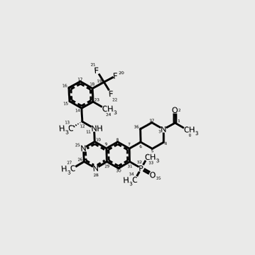 CC(=O)N1CCC(c2cc3c(N[C@H](C)c4cccc(C(F)(F)F)c4C)nc(C)nc3cc2P(C)(C)=O)CC1